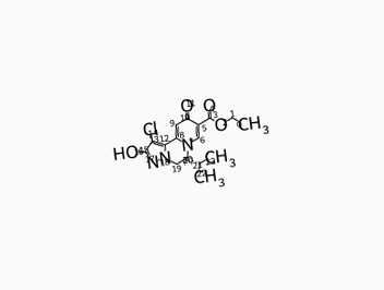 CCOC(=O)c1cn2c(cc1=O)-c1c(Cl)c(O)nn1C[C@H]2C(C)C